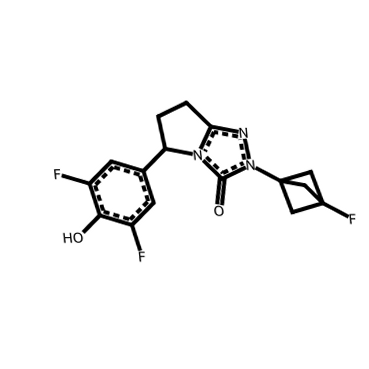 O=c1n(C23CC(F)(C2)C3)nc2n1C(c1cc(F)c(O)c(F)c1)CC2